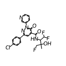 CC(O)(CF)C(NC(=O)c1cc(-c2ccc(Cl)cc2)nn(-c2cccnc2)c1=O)C(F)F